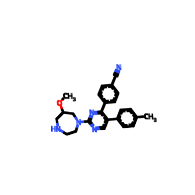 COC1CNCCN(c2ncc(-c3ccc(C)cc3)c(-c3ccc(C#N)cc3)n2)C1